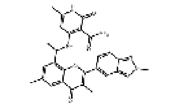 Cc1cc(C(C)Nc2cc(C)[nH]c(=O)c2C(N)=O)c2oc(-c3ccc4nn(C)cc4c3)c(C)c(=O)c2c1